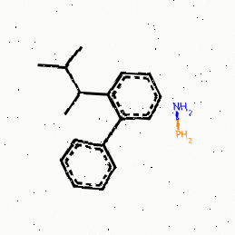 CC(C)C(C)c1ccccc1-c1ccccc1.NP